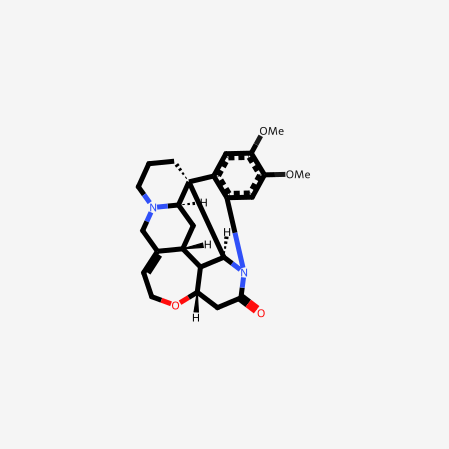 COc1cc2c(cc1OC)[C@@]13CCCN4CC5=CCO[C@H]6CC(=O)N2[C@H]1C6[C@H]5C[C@@H]43